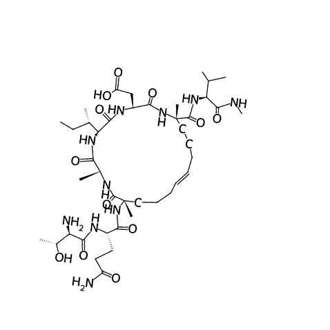 CC[C@H](C)[C@@H]1NC(=O)[C@H](C)NC(=O)[C@@](C)(NC(=O)[C@H](CCC(N)=O)NC(=O)[C@H](N)[C@@H](C)O)CCC/C=C/CCC[C@@](C)(C(=O)N[C@H](C(=O)NC)C(C)C)NC(=O)[C@H](CC(=O)O)NC1=O